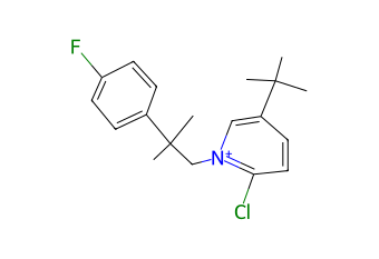 CC(C)(C)c1ccc(Cl)[n+](CC(C)(C)c2ccc(F)cc2)c1